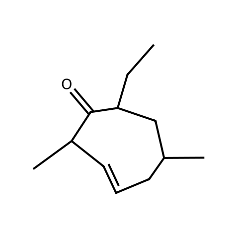 CCC1CC(C)C/C=C/C(C)C1=O